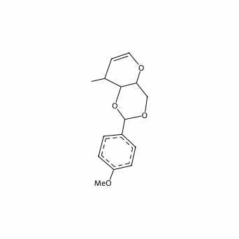 COc1ccc(C2OCC3OC=CC(C)C3O2)cc1